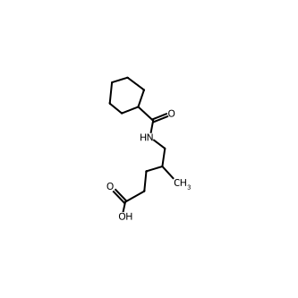 CC(CCC(=O)O)CNC(=O)C1CCCCC1